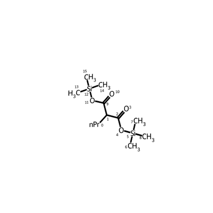 CCCC(C(=O)O[Si](C)(C)C)C(=O)O[Si](C)(C)C